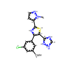 COc1cc(Cl)cc(-c2nc(-c3ccnn3C)sc2-c2nc[nH]n2)c1